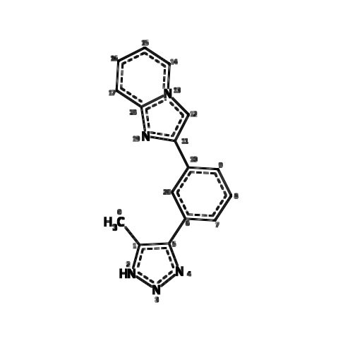 Cc1[nH]nnc1-c1cccc(-c2cn3ccccc3n2)c1